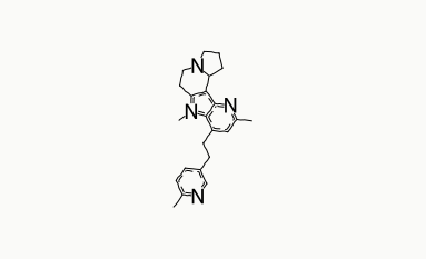 Cc1ccc(CCc2cc(C)nc3c4c(n(C)c23)CCN2CCCC42)cn1